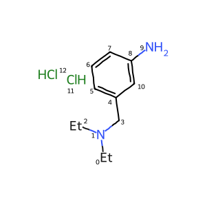 CCN(CC)Cc1cccc(N)c1.Cl.Cl